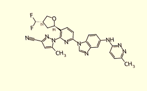 Cc1ccc(Nc2ccc3c(c2)ncn3-c2ccc([C@H]3C[C@H](C(F)F)CO3)c(-n3nc(C#N)cc3C)n2)nn1